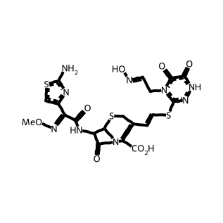 CON=C(C(=O)NC1C(=O)N2C(C(=O)O)=C(C=CSc3n[nH]c(=O)c(=O)n3CC=NO)CSC12)c1csc(N)n1